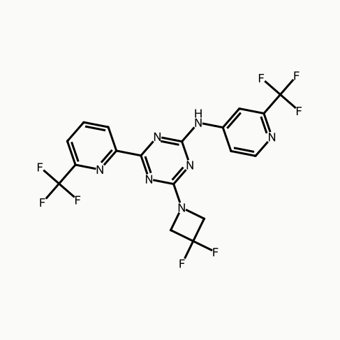 FC1(F)CN(c2nc(Nc3ccnc(C(F)(F)F)c3)nc(-c3cccc(C(F)(F)F)n3)n2)C1